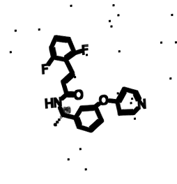 C[C@H](NC(=O)C=Cc1c(F)cccc1F)c1cccc(Oc2ccncc2)c1